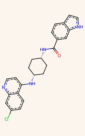 O=C(N[C@H]1CC[C@@H](Nc2ccnc3cc(Cl)ccc23)CC1)c1ccc2cc[nH]c2c1